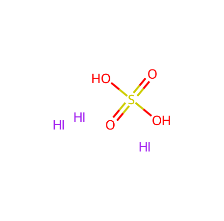 I.I.I.O=S(=O)(O)O